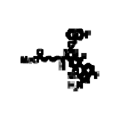 COC(=O)CCCCNc1nc(OC[C@@]23CCCN2C[C@H](F)C3)nc2c(F)c(-c3ccc(F)c4sc(N)c(C#N)c34)c(Cl)cc12